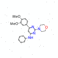 COc1ccc(-c2cc(Nc3ccccc3)nc(N3CCOCC3)n2)cc1OC